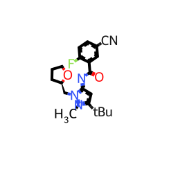 Cn1c(C(C)(C)C)cc(=NC(=O)c2cc(C#N)ccc2F)n1C[C@H]1CCCO1